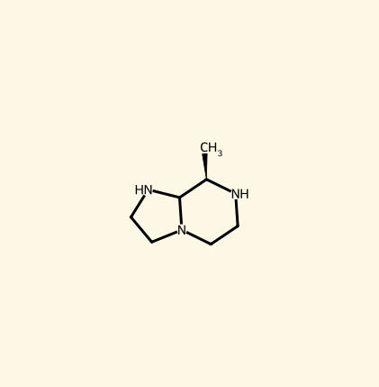 C[C@H]1NCCN2CCNC12